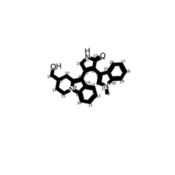 Cn1cc(C2=C(c3c4n(c5ccccc35)CCC(CO)C4)CNC2=O)c2ccccc21